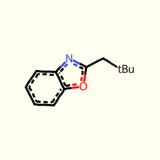 CC(C)(C)Cc1nc2ccccc2o1